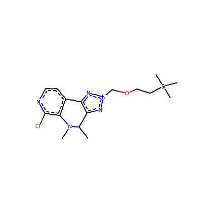 CC1c2nn(COCC[Si](C)(C)C)nc2-c2ccnc(Cl)c2N1C